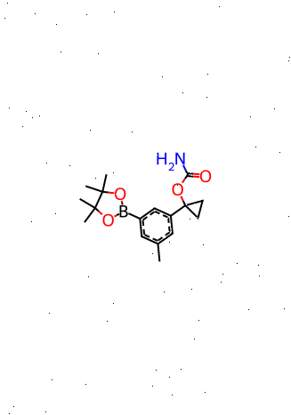 Cc1cc(B2OC(C)(C)C(C)(C)O2)cc(C2(OC(N)=O)CC2)c1